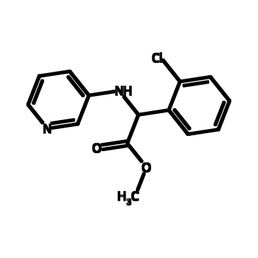 COC(=O)C(Nc1cccnc1)c1ccccc1Cl